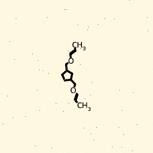 CC=COCC1CCC(COC=CC)C1